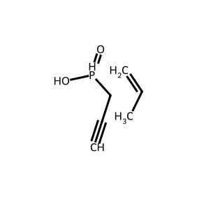 C#CC[PH](=O)O.C=CC